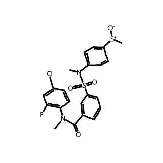 CN(C(=O)c1cccc(S(=O)(=O)N(C)c2ccc([S+](C)[O-])cc2)c1)c1ccc(Cl)cc1F